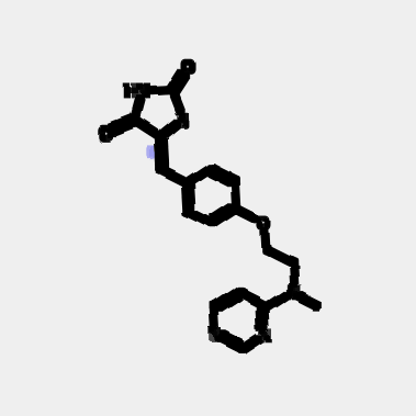 CN(CCOc1ccc(/C=C2\SC(=O)NC2=O)cc1)c1ccncn1